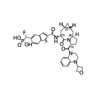 O=C(N[C@H]1C[C@@H]2C[C@@H]2C[C@H]2CC[C@@H](C(=O)N3CCN(C4COC4)c4ccccc43)N2C1=O)c1cc2cc(C(F)P(=O)(O)O)ccc2s1